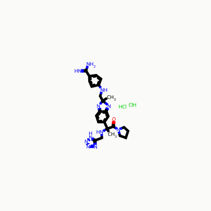 CC1(CNc2ccc(C(=N)N)cc2)N=c2ccc(C(C)(NCc3nnn[nH]3)C(=O)N3CCCC3)cc2=N1.Cl.Cl